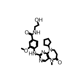 COc1cc(C(=O)NCCO)ccc1Nc1ncc2c(n1)N(C1CCCC1)CCC(=O)N2C